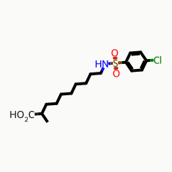 CC(CCCCCCCCNS(=O)(=O)c1ccc(Cl)cc1)C(=O)O